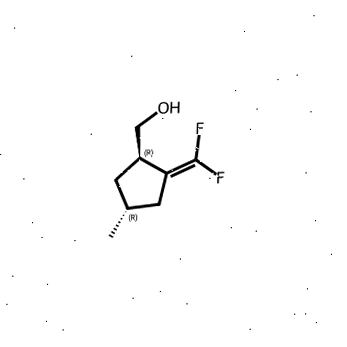 C[C@H]1CC(=C(F)F)[C@H](CO)C1